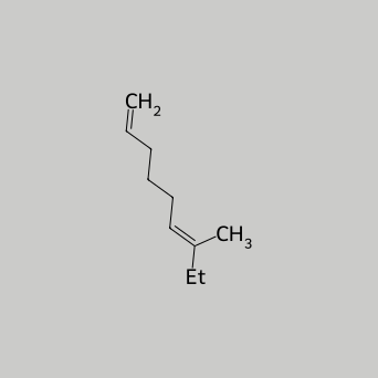 C=CCCCC=C(C)CC